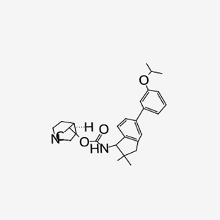 CC(C)Oc1cccc(-c2ccc3c(c2)CC(C)(C)C3NC(=O)O[C@H]2CN3CCC2CC3)c1